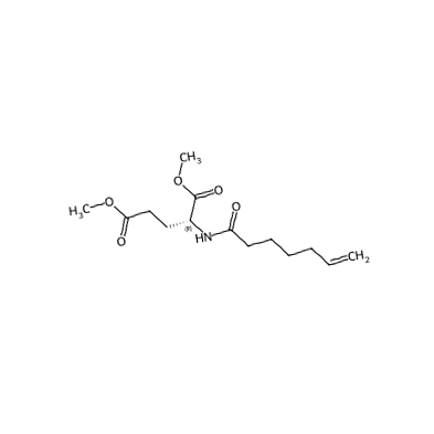 C=CCCCCC(=O)N[C@H](CCC(=O)OC)C(=O)OC